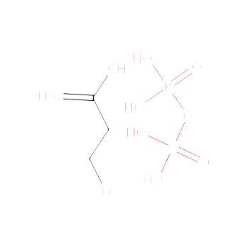 O=P(O)(O)OP(=O)(O)O.[Li][CH2]CC(=C)C